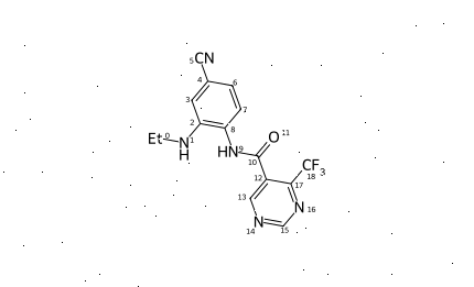 CCNc1cc(C#N)ccc1NC(=O)c1cncnc1C(F)(F)F